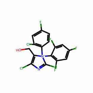 OCC1=C(Cl)N=C(Cl)[N+]1(c1ccc(F)cc1Cl)c1c(F)cc(F)cc1Br